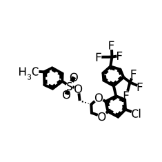 Cc1ccc(S(=O)(=O)OC[C@H]2COc3cc(Cl)cc(-c4ccc(C(F)(F)F)cc4C(F)(F)F)c3O2)cc1